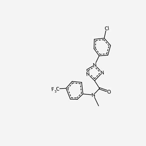 CN(C(=O)c1ncn(-c2ccc(Cl)cc2)n1)c1ccc(C(F)(F)F)cc1